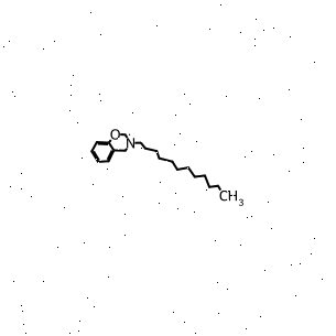 CCCCCCCCCCCCN1[CH]Oc2ccccc2C1